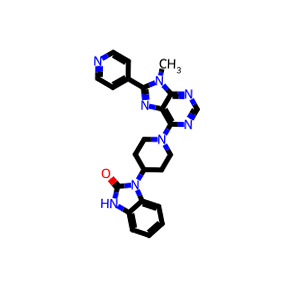 Cn1c(-c2ccncc2)nc2c(N3CCC(n4c(=O)[nH]c5ccccc54)CC3)ncnc21